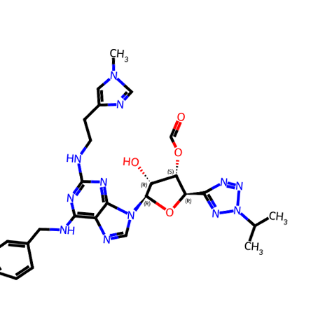 CC(C)n1nnc([C@H]2O[C@@H](n3cnc4c(NCc5ccccc5)nc(NCCc5cn(C)cn5)nc43)[C@H](O)[C@@H]2OC=O)n1